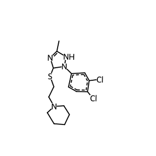 CC1=NC(SCCN2CCCCC2)N(c2ccc(Cl)c(Cl)c2)N1